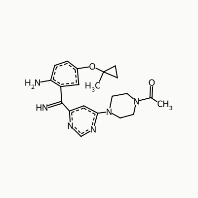 CC(=O)N1CCN(c2cc(C(=N)c3cc(OC4(C)CC4)ccc3N)ncn2)CC1